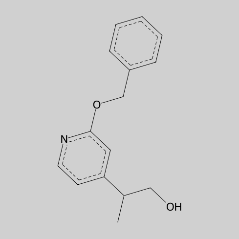 CC(CO)c1ccnc(OCc2ccccc2)c1